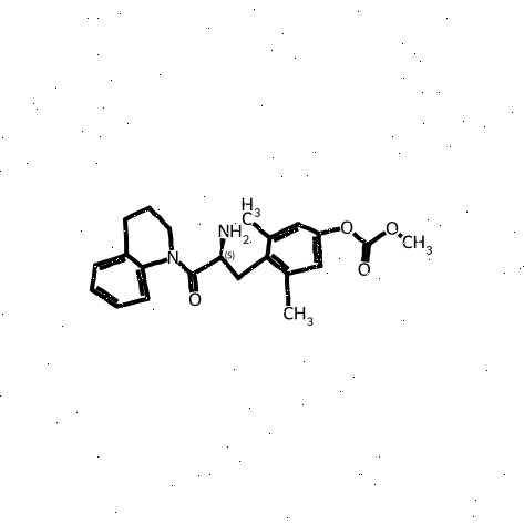 COC(=O)Oc1cc(C)c(C[C@H](N)C(=O)N2CCCc3ccccc32)c(C)c1